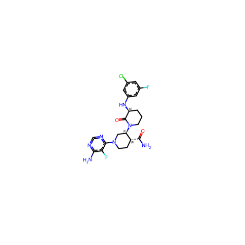 NC(=O)[C@@H]1CCN(c2ncnc(N)c2F)C[C@H]1N1CCC[C@H](Nc2cc(F)cc(Cl)c2)C1=O